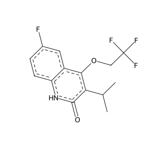 CC(C)c1c(OCC(F)(F)F)c2cc(F)ccc2[nH]c1=O